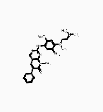 COc1cc(N(C)CCN(C)C)c(N)cc1Nc1ncc2cc(-c3ccccc3)c(=O)n(C)c2n1